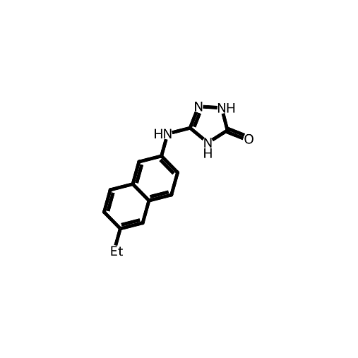 CCc1ccc2cc(Nc3n[nH]c(=O)[nH]3)ccc2c1